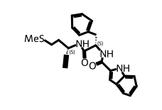 C#C[C@H](CCSC)NC(=O)[C@H](Cc1ccccc1)NC(=O)c1cc2ccccc2[nH]1